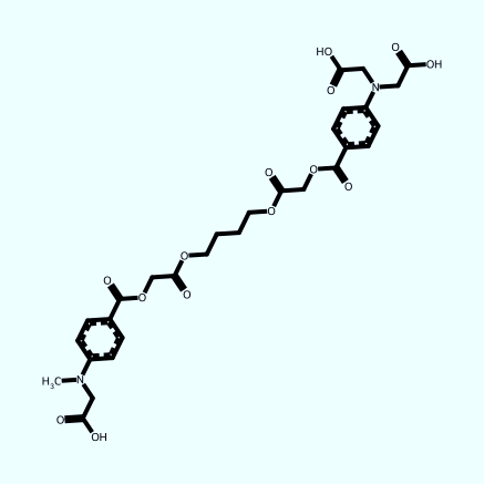 CN(CC(=O)O)c1ccc(C(=O)OCC(=O)OCCCCOC(=O)COC(=O)c2ccc(N(CC(=O)O)CC(=O)O)cc2)cc1